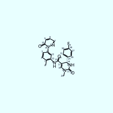 Cc1ccc(-n2ncccc2=O)cc1NC(=O)C1=CN(C)C(=O)N[C@H]1c1ccc(F)cc1